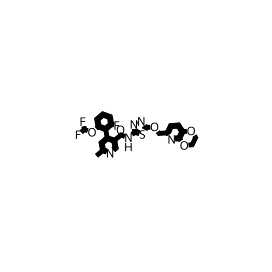 Cc1cc(-c2c(F)cccc2OC(F)F)c(C(=O)Nc2nnc(OCc3ccc4c(n3)OCCO4)s2)cn1